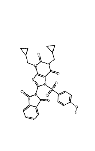 COc1ccc(S(=O)(=O)n2c(N3C(=O)c4ccccc4C3=O)nc3c2c(=O)n(CC2CC2)c(=O)n3CC2CC2)cc1